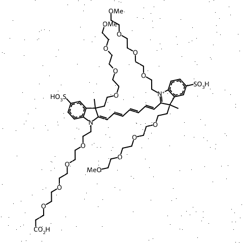 COCCOCCOCCOCC[N+]1=C(/C=C/C=C/C=C/C=C2/N(CCOCCOCCOCCOCCC(=O)O)c3ccc(S(=O)(=O)O)cc3C2(C)CCOCCOCCOCCOC)C(C)(CCOCCOCCOCCOC)c2cc(S(=O)(=O)O)ccc21